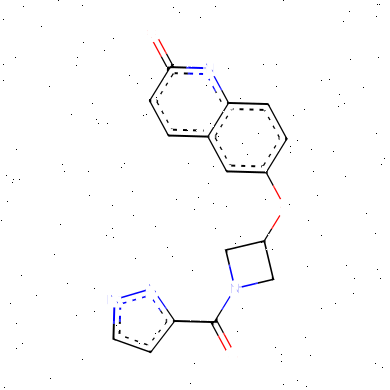 O=C(c1cc[nH]n1)N1CC(Oc2ccc3[nH]c(=O)ccc3c2)C1